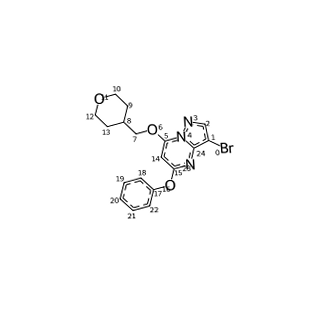 Brc1cnn2c(OCC3CCOCC3)cc(Oc3ccccc3)nc12